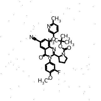 COc1ccc(-n2c(C3CCCN3C(=O)OC(C)(C)C)nc3c(Oc4ccc(C)nc4)cc(C#N)cc3c2=O)cc1F